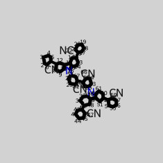 N#Cc1ccccc1-c1ccc2c(c1)c1cc(-c3ccccc3C#N)ccc1n2-c1ccc(C#N)c(-c2cc(-n3c4ccc(-c5ccccc5C#N)cc4c4cc(-c5ccccc5C#N)ccc43)ccc2C#N)c1